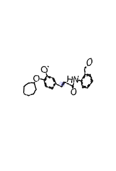 COc1cc(/C=C/C(=O)Nc2ccccc2C=O)ccc1OC1CCCCCC1